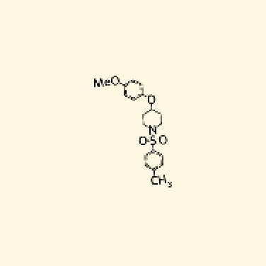 COc1ccc(OC2CCN(S(=O)(=O)c3ccc(C)cc3)CC2)cc1